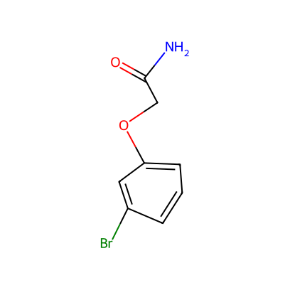 NC(=O)COc1cccc(Br)c1